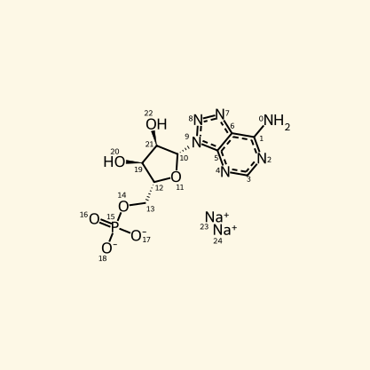 Nc1ncnc2c1nnn2[C@@H]1O[C@H](COP(=O)([O-])[O-])[C@@H](O)[C@H]1O.[Na+].[Na+]